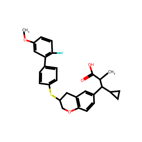 COc1ccc(F)c(-c2ccc(SC3COc4ccc(C(C5CC5)C(C)C(=O)O)cc4C3)cc2)c1